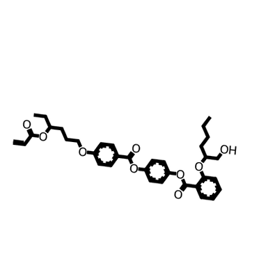 C=CC(=O)OC(CC)CCCOc1ccc(C(=O)Oc2ccc(OC(=O)c3ccccc3OC(CO)CCCC)cc2)cc1